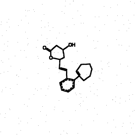 O=C1CC(O)CC(C=Cc2ccccc2C2=CCCCCC2)O1